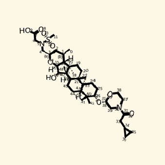 C[C@@H]1C[C@H](CN(CC(=O)O)S(C)(=O)=O)O[C@H]2[C@H]1[C@@]1(C)CC[C@@]34C[C@@]35CC[C@H](O[C@H]3CN(C(=O)CC6CC6)CCO3)C(C)(C)[C@@H]5CC[C@H]4[C@]1(C)[C@H]2O